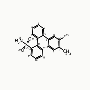 Cc1ccc(-c2ccccc2-c2ccccc2S(N)(=O)=O)cc1F